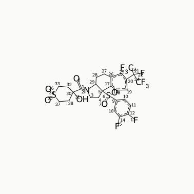 O=C(N1CCC2(S(=O)(=O)c3ccc(F)c(F)c3)c3ccc(C(F)(C(F)(F)F)C(F)(F)F)cc3CCC12)C1(O)CCS(=O)(=O)CC1